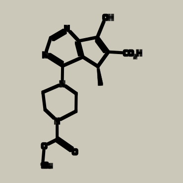 C[C@@H]1C(C(=O)O)=C(O)c2ncnc(N3CCN(C(=O)OC(C)(C)C)CC3)c21